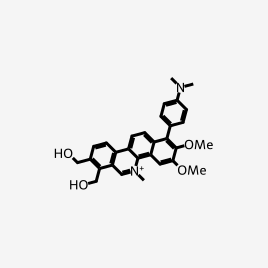 COc1cc2c(ccc3c4ccc(CO)c(CO)c4c[n+](C)c23)c(-c2ccc(N(C)C)cc2)c1OC